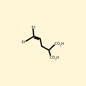 CCC(=CCC(C(=O)O)C(=O)O)CC